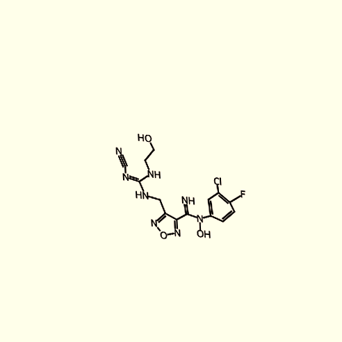 N#C/N=C(\NCCO)NCc1nonc1C(=N)N(O)c1ccc(F)c(Cl)c1